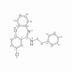 Clc1ccc2c(c1)C(NCCc1ccccc1)=Nc1ccccc1O2